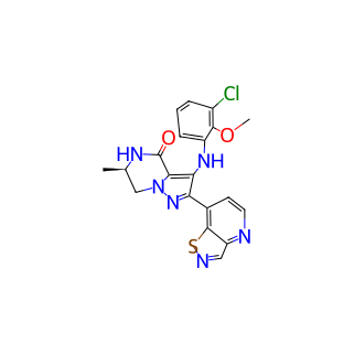 COc1c(Cl)cccc1Nc1c(-c2ccnc3cnsc23)nn2c1C(=O)N[C@H](C)C2